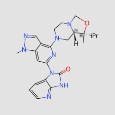 CC(C)[C@@]1(C)OCN2CCN(c3nc(-n4c(=O)[nH]c5ncccc54)cc4c3cnn4C)C[C@H]21